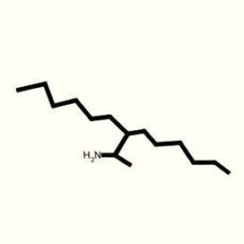 CCCCCCC(CCCCCC)C(C)N